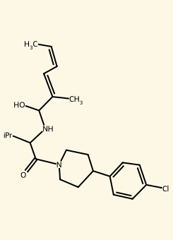 C/C=C\C=C(/C)C(O)NC(C(=O)N1CCC(c2ccc(Cl)cc2)CC1)C(C)C